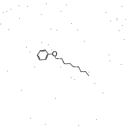 CCCCCCCCCOc1ccccc1